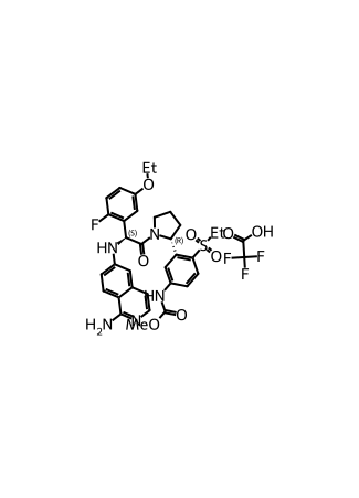 CCOc1ccc(F)c([C@H](Nc2ccc3c(N)nccc3c2)C(=O)N2CCC[C@@H]2c2cc(NC(=O)OC)ccc2S(=O)(=O)CC)c1.O=C(O)C(F)(F)F